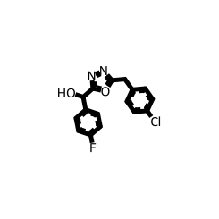 OC(c1ccc(F)cc1)c1nnc(Cc2ccc(Cl)cc2)o1